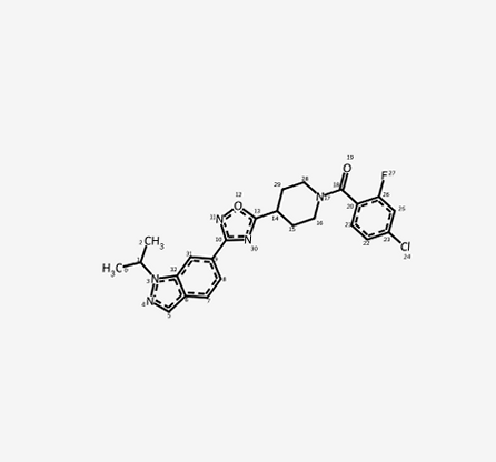 CC(C)n1ncc2ccc(-c3noc(C4CCN(C(=O)c5ccc(Cl)cc5F)CC4)n3)cc21